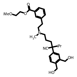 COCCOC(=O)c1cccc(CCN(C)CCCC(C#N)(c2ccc(CO)c(CO)c2)C(C)C)c1